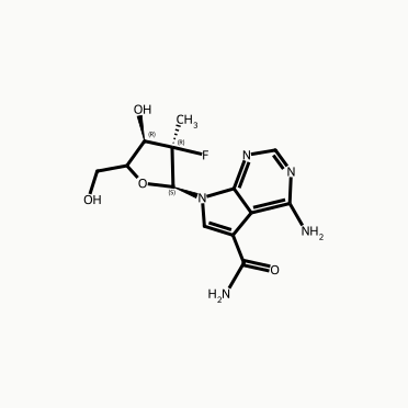 C[C@@]1(F)[C@H](O)C(CO)O[C@@H]1n1cc(C(N)=O)c2c(N)ncnc21